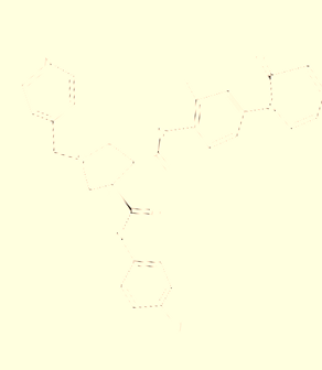 O=C(Nc1ccc(Cl)cc1)[C@H]1CN(Cc2ccncc2)C[C@@H]1C(=O)Nc1ccc(-n2ccccc2=O)cc1F